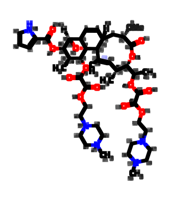 CO[C@H]1C[C@H]2C=CC3C4[C@H](OC(=O)C(=O)OCCN5CCN(C)CC5)[C@@H](C)[C@@H](OC(=O)c5ccc[nH]5)[C@@H]3O[C@]42/C(C)=C/[C@@H](C)[C@@H]([C@@H](C)OC(=O)C(=O)OCCN2CCN(C)CC2)OC1=O